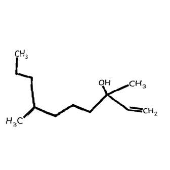 C=CC(C)(O)CCCC(C)CCC